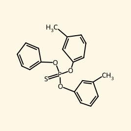 Cc1cccc(OP(=S)(Oc2ccccc2)Oc2cccc(C)c2)c1